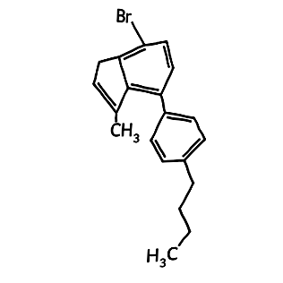 CCCCc1ccc(-c2ccc(Br)c3c2C(C)=CC3)cc1